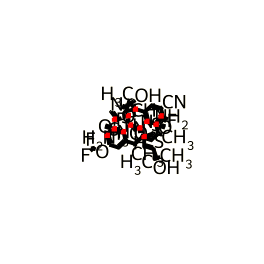 Cc1cc(C(C)(C)O)sc1S(N)(=O)=NC(=O)Nc1c(C(C)C)cc(OC(F)F)cc1C(C)CCC(C)c1c(F)c(C#N)cc(C2CC2)c1NC(=O)N=S(N)(=O)c1cnc(C(C)(C)O)s1